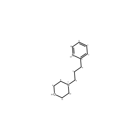 c1ccc(CCCN2CCOCC2)nc1